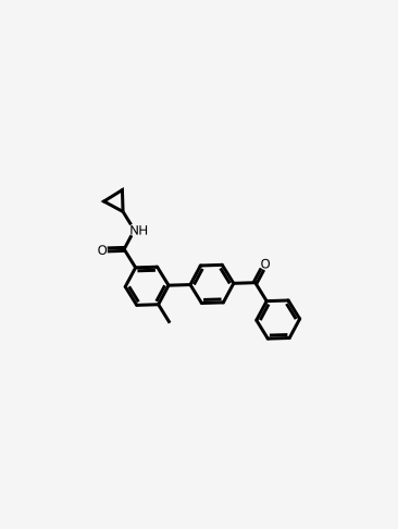 Cc1ccc(C(=O)NC2CC2)cc1-c1ccc(C(=O)c2ccccc2)cc1